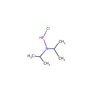 CC(C)N(PCl)C(C)C